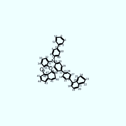 c1ccc(-c2ccc(N(c3ccc(-c4ccc(-c5cccc6ccccc56)cc4)cc3)c3cccc4c3Oc3cccc5cccc(c35)O4)cc2)cc1